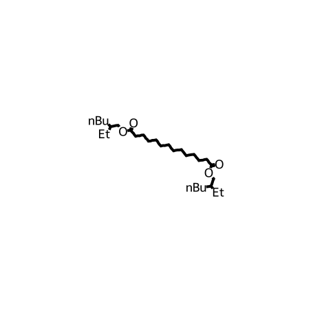 CCCCC(CC)COC(=O)CCCCCCCCCCCCC(=O)OCC(CC)CCCC